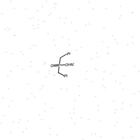 CC(C)CP(=O)(O)CC(C)C.[Al]